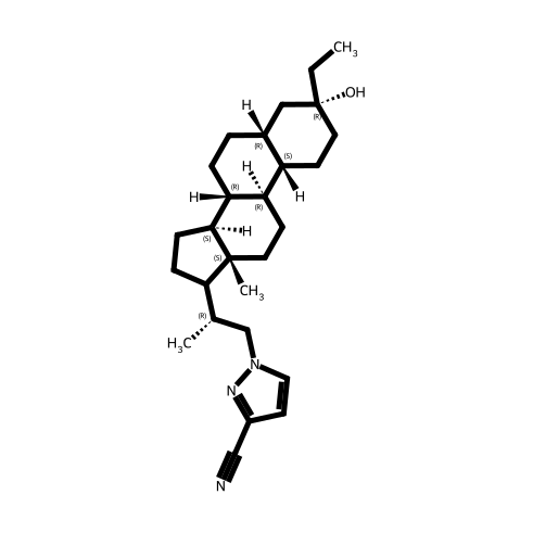 CC[C@@]1(O)CC[C@H]2[C@H](CC[C@@H]3[C@@H]2CC[C@]2(C)C([C@@H](C)Cn4ccc(C#N)n4)CC[C@@H]32)C1